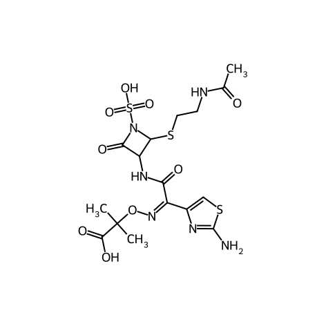 CC(=O)NCCSC1C(NC(=O)C(=NOC(C)(C)C(=O)O)c2csc(N)n2)C(=O)N1S(=O)(=O)O